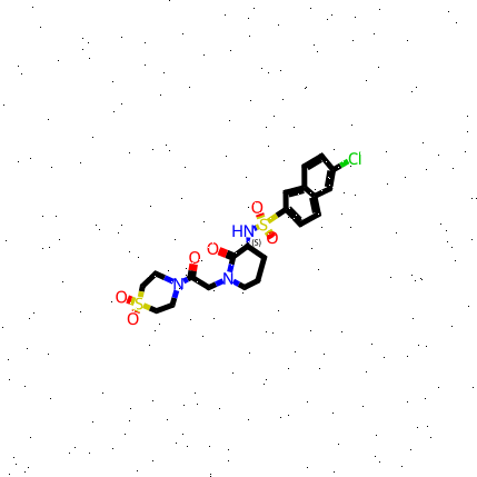 O=C(CN1CCC[C@H](NS(=O)(=O)c2ccc3cc(Cl)ccc3c2)C1=O)N1CCS(=O)(=O)CC1